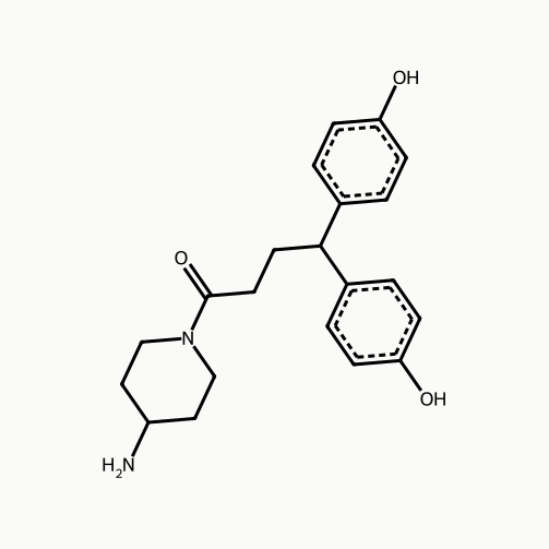 NC1CCN(C(=O)CCC(c2ccc(O)cc2)c2ccc(O)cc2)CC1